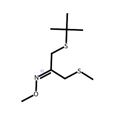 CO/N=C(\CSC)CSC(C)(C)C